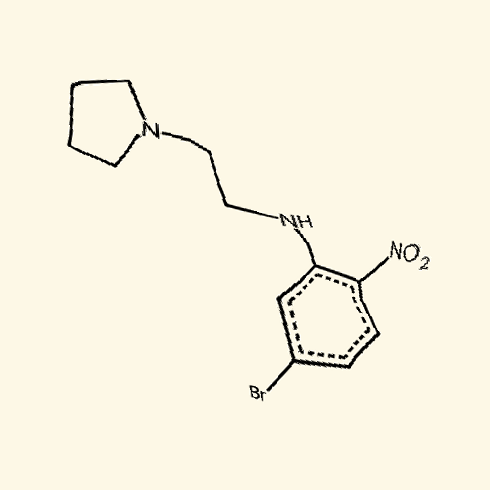 O=[N+]([O-])c1ccc(Br)cc1NCCN1CCCC1